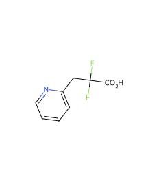 O=C(O)C(F)(F)Cc1ccccn1